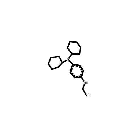 CC(C)CNc1ccc(N(C2CCCCC2)C2CCCCC2)cc1